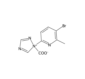 Cc1nc([N+]2(C(=O)[O-])C=NC=N2)ccc1Br